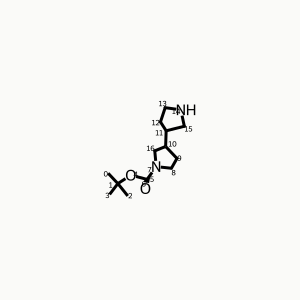 CC(C)(C)OC(=O)N1CCC(C2CCNC2)C1